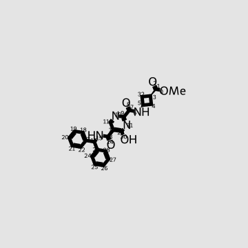 COC(=O)[C@H]1C[C@H](NC(=O)c2ncc(C(=O)NC(c3ccccc3)c3ccccc3)c(O)n2)C1